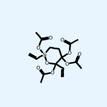 C=CC1(OC(C)=O)O[Si](C=C)(OC(C)=O)CCC1(OC(C)=O)OC(C)=O